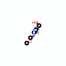 C[C@H]1CN2CCN(Cc3cccc(Oc4ccccc4)c3)C[C@H]2C[C@@]1(C)c1cccc(O)c1